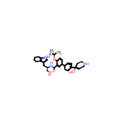 CC(C)Oc1ccc(-c2ccc(C3(O)CCNCC3)cc2)cc1C(=O)N[C@@H](CO)Cc1c[nH]c2ccccc12